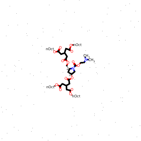 CCCCCCCCOC(=O)CC(CC(=O)OCCCCCCCC)CC(=O)OC[C@H]1C[C@H](OC(=O)CC(CC(=O)OCCCCCCCC)CC(=O)OCCCCCCCC)CN1C(=O)OCCN(C)C